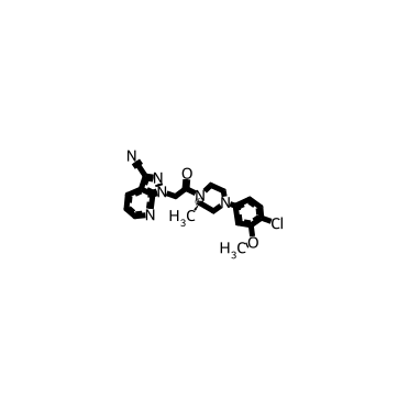 COc1cc(N2CCN(C(=O)Cn3nc(C#N)c4cccnc43)[C@@H](C)C2)ccc1Cl